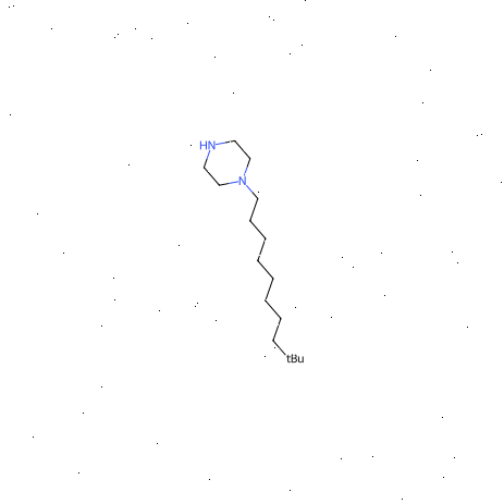 CC(C)(C)CCCCCCCCN1CCNCC1